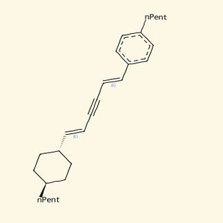 CCCCCc1ccc(/C=C/C#C/C=C/[C@H]2CC[C@H](CCCCC)CC2)cc1